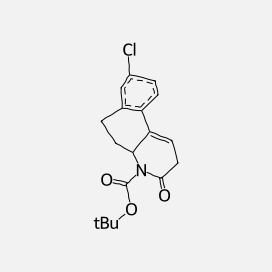 CC(C)(C)OC(=O)N1C(=O)CC=C2c3ccc(Cl)cc3CCC21